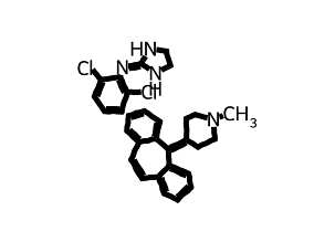 CN1CCC(=C2c3ccccc3C=Cc3ccccc32)CC1.Clc1cccc(Cl)c1N=C1NCCN1